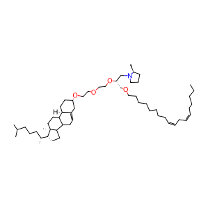 CCCCC/C=C\C/C=C\CCCCCCCCOC[C@@H](CN1CCC[C@@H]1C)OCCOCCO[C@H]1CC[C@H]2C(=CCC3C2CC[C@@]2(C)C3CC[C@@H]2[C@H](C)CCCC(C)C)C1